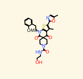 COc1ccccc1CCN1C(=O)C2(CCN(C(=O)NCCO)CC2)C(=O)c2c1sc(-c1ncc(C)o1)c2C